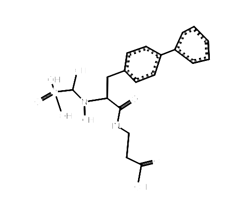 CC(N(C)C(Cc1ccc(-c2ccccc2)cc1)C(=O)NCCC(=O)O)P(=O)(O)O